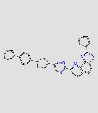 c1ccc(-c2ccc(-c3ccc(-c4cnc(-c5ccc6ccc7ccc(-c8ccccc8)nc7c6n5)nc4)cc3)cc2)cc1